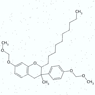 CCCCCCCCCCC1Oc2cc(OCOC)ccc2CC1(C)c1ccc(OCOC)cc1